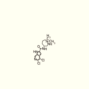 C[Si]1(C)CCCC(NC(=O)c2cc3c(Cl)c(Cl)ncc3[nH]2)CN1